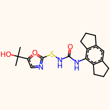 CC(C)(O)c1cnc(SNC(=O)Nc2c3c(cc4c2CCC4)CCC3)o1